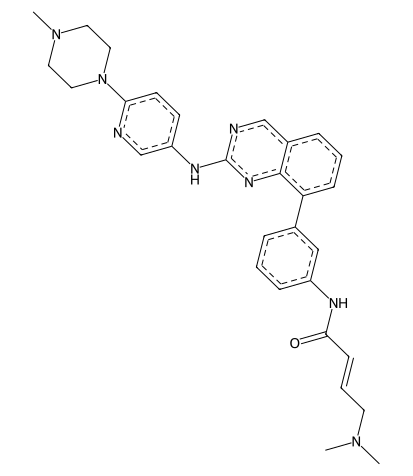 CN(C)C/C=C/C(=O)Nc1cccc(-c2cccc3cnc(Nc4ccc(N5CCN(C)CC5)nc4)nc23)c1